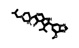 COc1cc(-c2[nH]c3cnc(N4CCN(CC(C)C)C[C@H]4C)c(F)c3c2C(C)C)cn2ncnc12